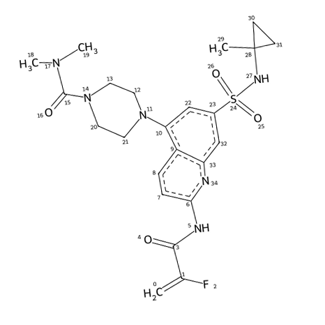 C=C(F)C(=O)Nc1ccc2c(N3CCN(C(=O)N(C)C)CC3)cc(S(=O)(=O)NC3(C)CC3)cc2n1